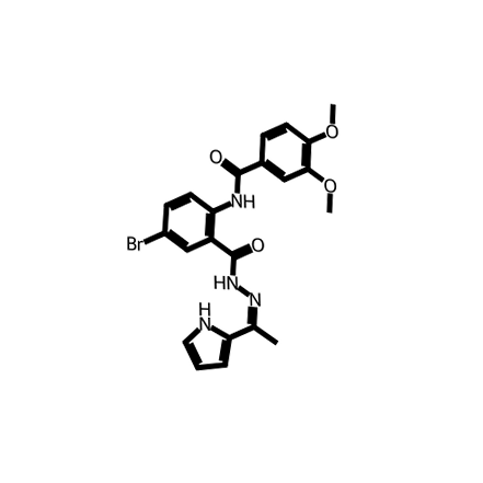 COc1ccc(C(=O)Nc2ccc(Br)cc2C(=O)NN=C(C)c2ccc[nH]2)cc1OC